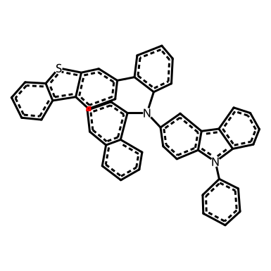 c1ccc(-n2c3ccccc3c3cc(N(c4ccccc4-c4ccc5c(c4)sc4ccccc45)c4cccc5ccccc45)ccc32)cc1